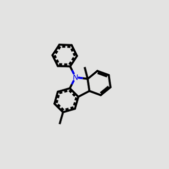 Cc1ccc2c(c1)C1C=CC=CC1(C)N2c1ccccc1